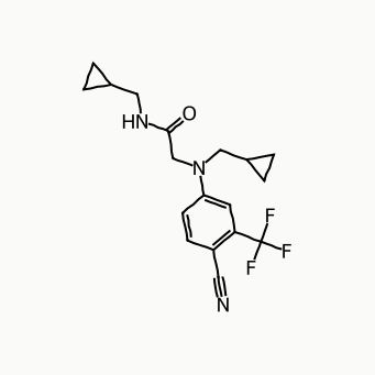 N#Cc1ccc(N(CC(=O)NCC2CC2)CC2CC2)cc1C(F)(F)F